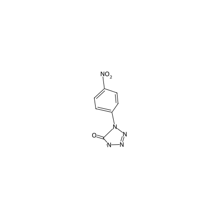 O=C1[N]N=NN1c1ccc([N+](=O)[O-])cc1